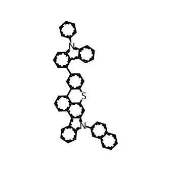 c1ccc(-n2c3ccccc3c3c(-c4ccc5c(c4)-c4cccc6c4c(cc4c6c6ccccc6n4-c4ccc6ccccc6c4)S5)cccc32)cc1